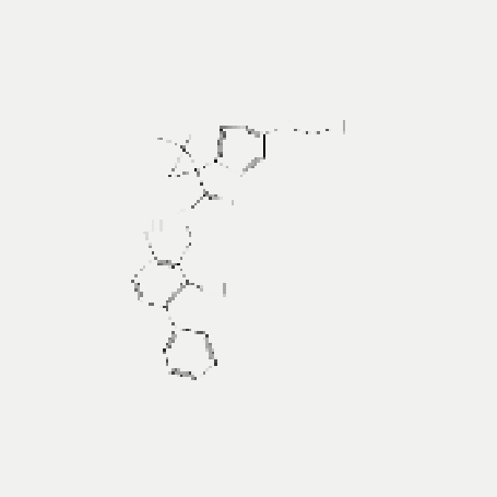 CCOc1ccc(C2(C(=O)OCc3c(C)ccc(-c4ccccc4)c3C)CC2(Cl)Cl)cc1